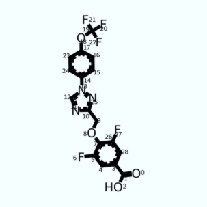 O=C(O)c1cc(F)c(OCc2ncn(-c3ccc(OC(F)(F)F)cc3)n2)c(F)c1